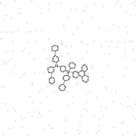 c1ccc(-c2ccc(N(c3ccc([Si](c4ccccc4)(c4ccc(-c5ccccc5)cc4)c4ccc5c6ccccc6c6ccccc6c5c4)cc3)c3cccc(-c4ccccc4)c3)cc2)cc1